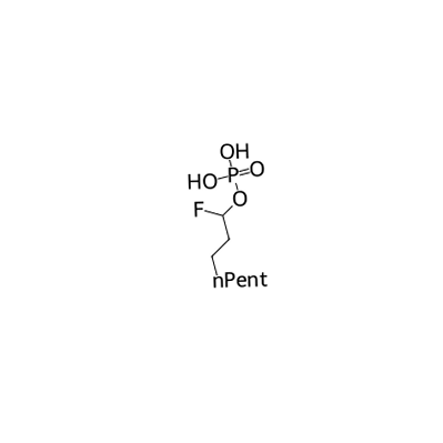 CCCCCCCC(F)OP(=O)(O)O